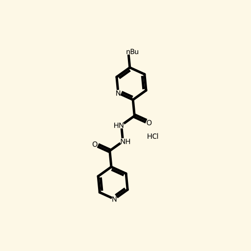 CCCCc1ccc(C(=O)NNC(=O)c2ccncc2)nc1.Cl